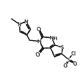 Cn1cc(Cn2c(=O)[nH]c3sc(S(=O)(=O)Cl)cc3c2=O)cn1